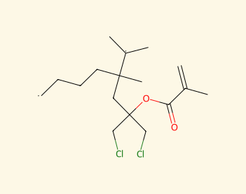 [CH2]CCCC(C)(CC(CCl)(CCl)OC(=O)C(=C)C)[C](C)C